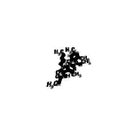 CCCCCN1C(=O)C(NC(=O)CC)c2c(C)nc(N(CC)c3c(C)cc(C)cc3C)nc21